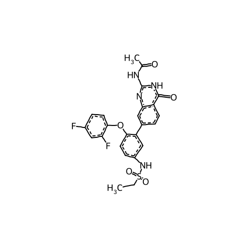 CCS(=O)(=O)Nc1ccc(Oc2ccc(F)cc2F)c(-c2ccc3c(=O)[nH]c(NC(C)=O)nc3c2)c1